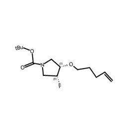 C=CCCCO[C@H]1CN(C(=O)OC(C)(C)C)C[C@H]1F